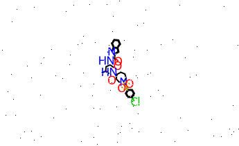 CC(C)CC(NC(=O)c1cc2ccccc2n1C)C(=O)N[C@H]1CCCN(S(=O)(=O)c2ccc(Cl)cc2)CC1=O